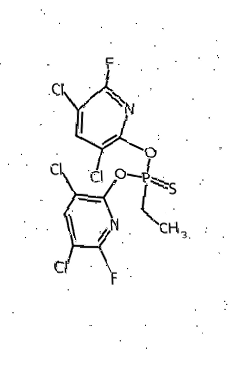 CCP(=S)(Oc1nc(F)c(Cl)cc1Cl)Oc1nc(F)c(Cl)cc1Cl